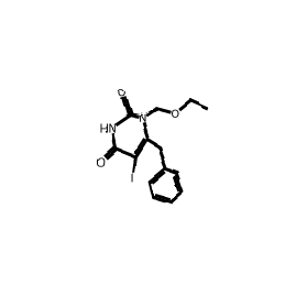 CCOCn1c(Cc2ccccc2)c(I)c(=O)[nH]c1=O